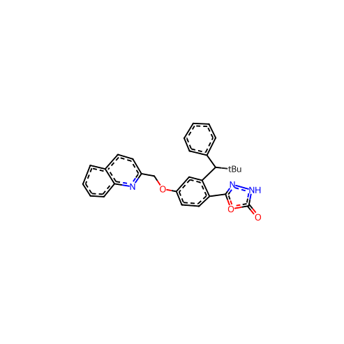 CC(C)(C)C(c1ccccc1)c1cc(OCc2ccc3ccccc3n2)ccc1-c1n[nH]c(=O)o1